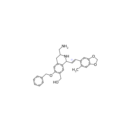 Cc1cc2c(cc1/C=C/C1NC(CN)Cc3cc(OCc4ccccc4)c(CO)cc31)OCO2